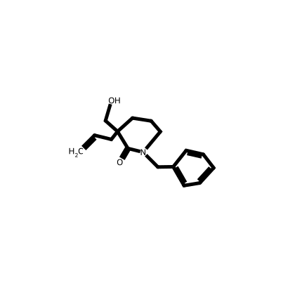 C=CCC1(CO)CCCN(Cc2ccccc2)C1=O